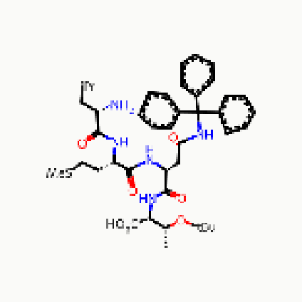 CSCC[C@H](NC(=O)[C@@H](N)CC(C)C)C(=O)N[C@@H](CC(=O)NC(c1ccccc1)(c1ccccc1)c1ccccc1)C(=O)N[C@H](C(=O)O)[C@@H](C)OC(C)(C)C